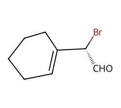 O=C[C@@H](Br)C1=CCCCC1